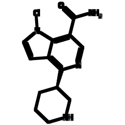 NC(=O)c1cnc([C@@H]2CCCNC2)c2ccn(Cl)c12